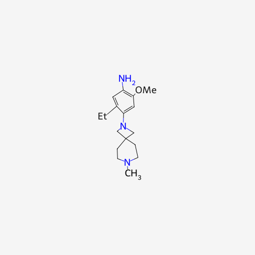 CCc1cc(N)c(OC)cc1N1CC2(CCN(C)CC2)C1